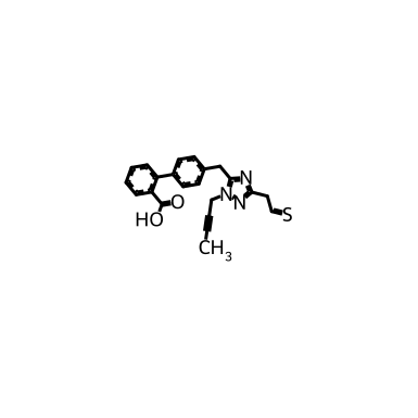 CC#CCn1nc(CC=S)nc1Cc1ccc(-c2ccccc2C(=O)O)cc1